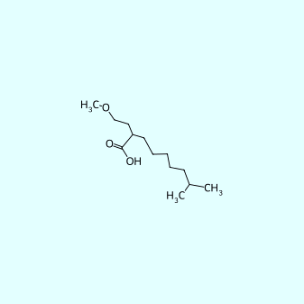 COCCC(CCCCCC(C)C)C(=O)O